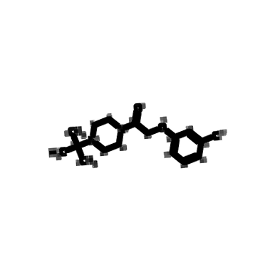 CC(C)(C)N1CCN(C(=O)COc2cccc(Cl)c2)CC1